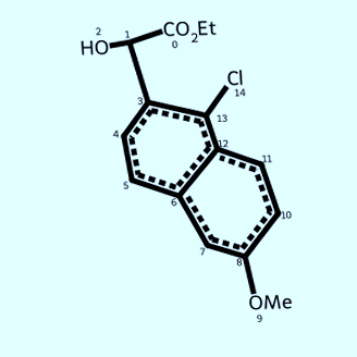 CCOC(=O)C(O)c1ccc2cc(OC)ccc2c1Cl